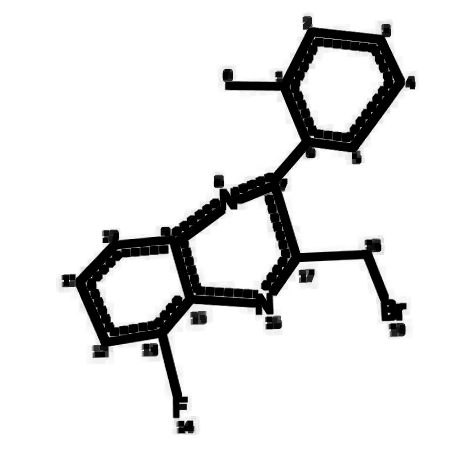 Cc1ccccc1-c1nc2cccc(F)c2nc1CBr